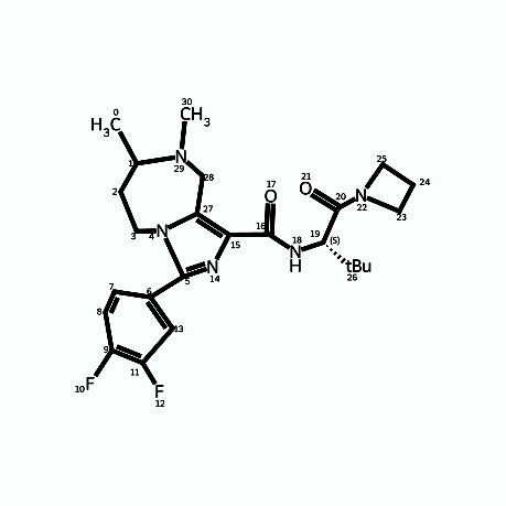 CC1CCn2c(-c3ccc(F)c(F)c3)nc(C(=O)N[C@H](C(=O)N3CCC3)C(C)(C)C)c2CN1C